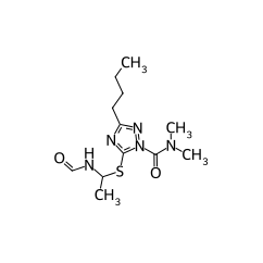 CCCCc1nc(SC(C)NC=O)n(C(=O)N(C)C)n1